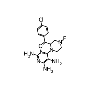 Nc1nc(N)c(N)c(N2CCN(F)CC2C(=O)c2ccc(Cl)cc2)n1